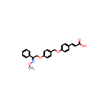 CON=C(COc1ccc(COc2ccc(/C=C/C(=O)O)cc2)cc1)c1ccccc1